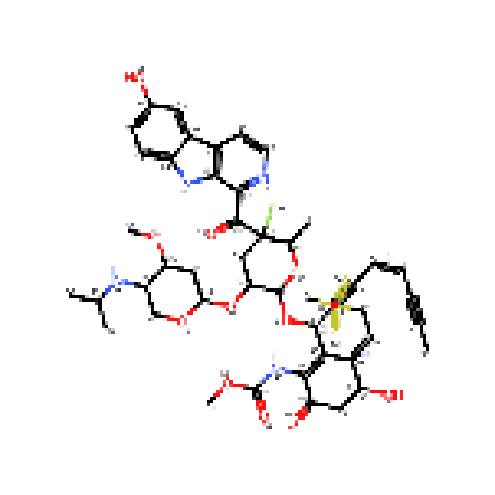 CC#C/C=C\C#C[C@H](OC1OC(C)C(F)(C(=O)c2nccc3c2[nH]c2ccc(O)cc23)CC1OC1CC(OC)C(NC(C)C)CO1)C1=C(NC(=O)OC)C(=O)C[C@H](O)/C1=C/CS(C)(=S)=S